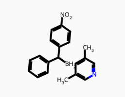 BC(c1ccccc1)c1ccc([N+](=O)[O-])cc1.Cc1cncc(C)c1